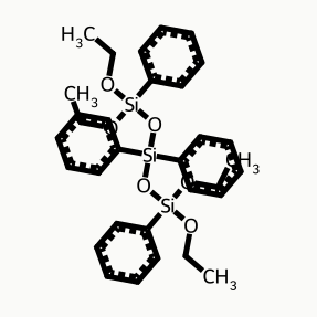 CCO[Si](OCC)(O[Si](O[Si](OCC)(OCC)c1ccccc1)(c1ccccc1)c1ccccc1)c1ccccc1